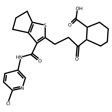 O=C(Nc1ccc(Cl)nc1)c1c(CCC(=O)C2CCCCC2C(=O)O)sc2c1CCC2